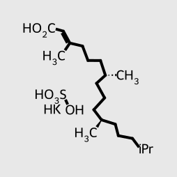 C/C(=C\C(=O)O)CCC[C@H](C)CCC[C@H](C)CCCC(C)C.O=S(=O)(O)O.[KH]